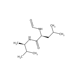 CC(C)C[C@H](NC=O)C(=O)N[C@H](C)C(C)C